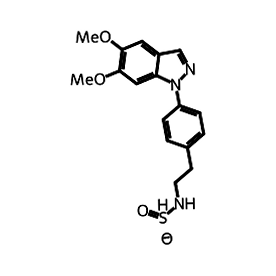 COc1cc2cnn(-c3ccc(CCN[SH](=O)=O)cc3)c2cc1OC